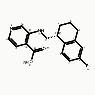 CCc1ccc2c(c1)CCC[C@H]2CNc1cnccc1C(=O)OC